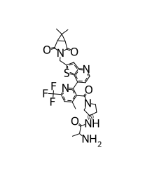 Cc1cc(C(F)(F)F)nc(-c2ccnc3cc(CN4C(=O)C5C(C4=O)C5(C)C)sc23)c1C(=O)N1CC[C@H](NC(=O)C(C)N)C1